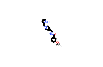 O=C(NCC1C2CN(Cc3ccc[nH]3)CC12)c1cccc(OC(F)(F)F)c1